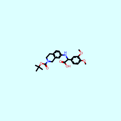 COc1ccc(C(Nc2ccc3c(c2)CN(C(=O)OC(C)(C)C)CC3)C(=O)O)cc1OC